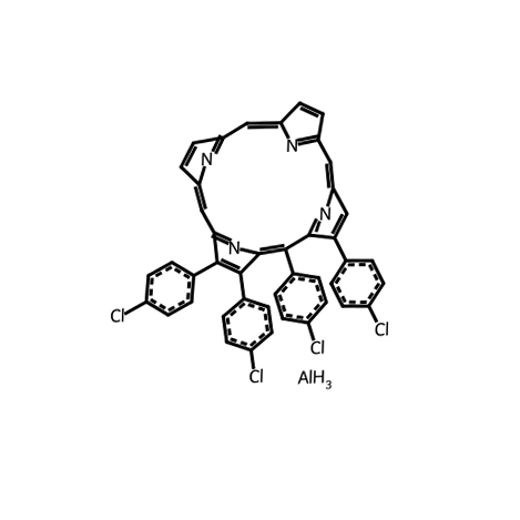 Clc1ccc(C2=CC3=CC4=NC(=CC5=NC(=CC6=NC(=C(c7ccc(Cl)cc7)C2=N3)C(c2ccc(Cl)cc2)=C6c2ccc(Cl)cc2)C=C5)C=C4)cc1.[AlH3]